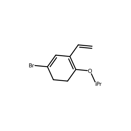 C=CC1=C(OC(C)C)CCC(Br)=C1